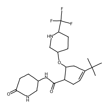 CC(C)(C)C1=CCC(C(=O)NC2CCC(=O)NC2)C(OC2CCC(C(F)(F)F)NC2)C1